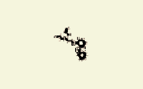 C=CCN(CC=C)CCOc1ccccc1Oc1ccccc1